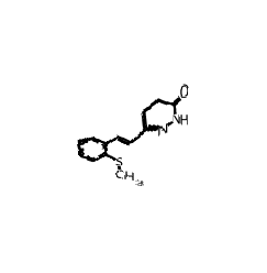 CSc1ccccc1C=CC1=NNC(=O)CC1